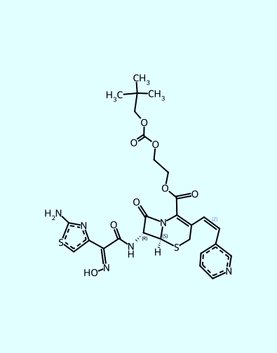 CC(C)(C)COC(=O)OCCOC(=O)C1=C(/C=C\c2cccnc2)CS[C@H]2[C@H](NC(=O)C(=NO)c3csc(N)n3)C(=O)N12